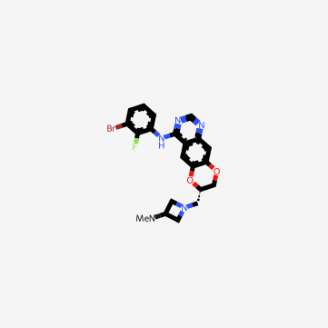 CNC1CN(C[C@H]2COc3cc4ncnc(Nc5cccc(Br)c5F)c4cc3O2)C1